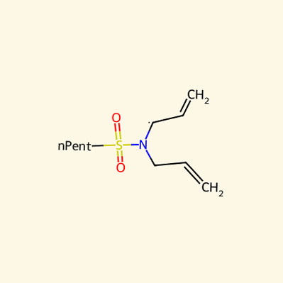 C=C[CH]N(CC=C)S(=O)(=O)CCCCC